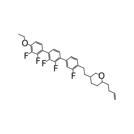 C=CCCC1CCC(CCc2ccc(-c3ccc(-c4ccc(OCC)c(F)c4F)c(F)c3F)cc2F)CO1